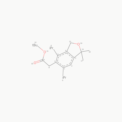 CC(C)c1cc2c(c(C(C)C)c1CC(=O)OC(C)(C)C)COC2(C)C